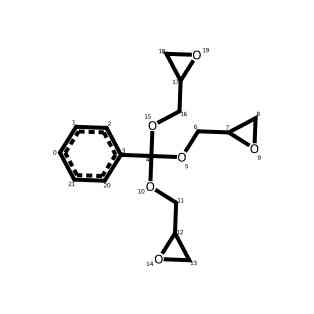 c1ccc(C(OCC2CO2)(OCC2CO2)OCC2CO2)cc1